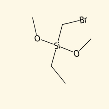 CC[Si](CBr)(OC)OC